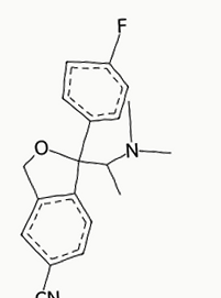 CC(N(C)C)C1(c2ccc(F)cc2)OCc2cc(C#N)ccc21